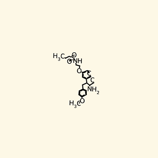 CCCS(=O)(=O)NCCOc1ccc2c(c1)C(Cc1ccc(OC)cc1)C(N)CC2